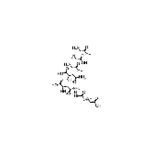 NC(=O)CC(N)C(=O)O.NC(=O)CC(N)C(=O)O.NCC(=O)O.NCC(=O)O.NCC(=O)O.NCC(=O)O.NCC(=O)O